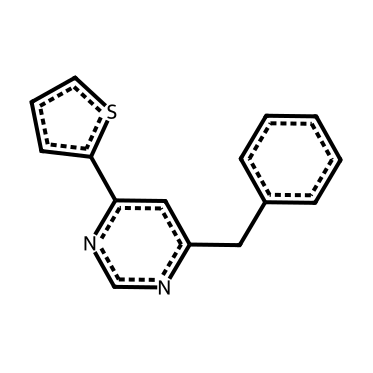 c1ccc(Cc2cc(-c3cccs3)ncn2)cc1